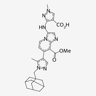 COC(=O)c1c(-c2cnn(CC34CC5CC(CC(C5)C3)C4)c2C)ccn2c(Nc3nn(C)cc3C(=O)O)cnc12